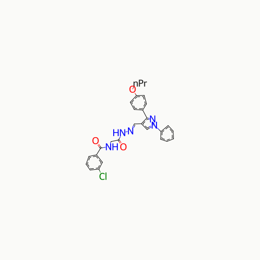 CCCOc1ccc(-c2nn(-c3ccccc3)cc2C=NNC(=O)CNC(=O)c2cccc(Cl)c2)cc1